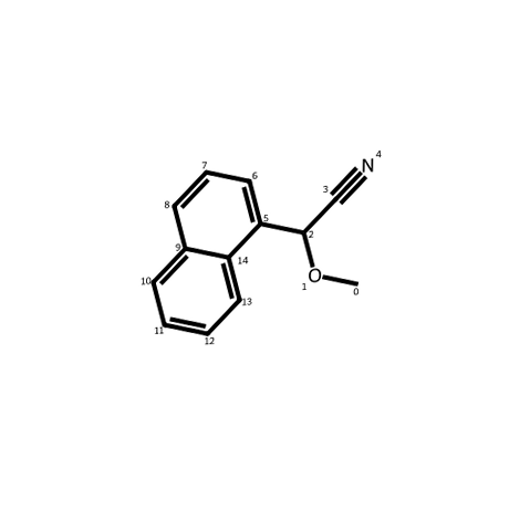 COC(C#N)c1cccc2ccccc12